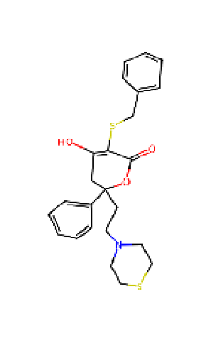 O=C1OC(CCN2CCSCC2)(c2ccccc2)CC(O)=C1SCc1ccccc1